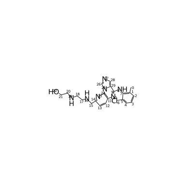 Cc1cccc(Cl)c1Nc1nc2ccc(CNCCNCCO)nc2n2cncc12